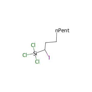 CCCCCCCC(I)[Si](Cl)(Cl)Cl